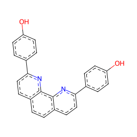 Oc1ccc(-c2ccc3ccc4ccc(-c5ccc(O)cc5)nc4c3n2)cc1